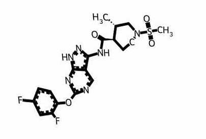 C[C@@H]1CN(S(C)(=O)=O)CC[C@H]1C(=O)Nc1n[nH]c2nc(Oc3ccc(F)cc3F)ncc12